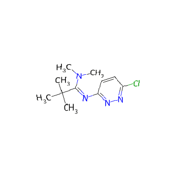 CN(C)C(=Nc1ccc(Cl)nn1)C(C)(C)C